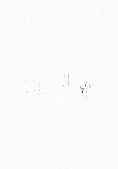 COc1cc(C)ccc1OCCCC(=O)Nc1ccc(S(=O)(=O)Nc2nccs2)cc1